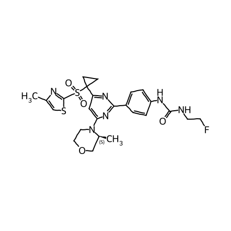 Cc1csc(S(=O)(=O)C2(c3cc(N4CCOC[C@@H]4C)nc(-c4ccc(NC(=O)NCCF)cc4)n3)CC2)n1